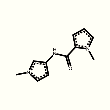 Cn1ccc(NC(=O)c2cccn2C)c1